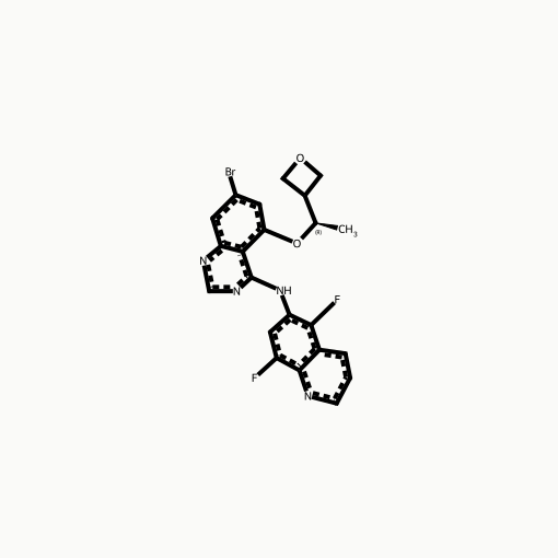 C[C@@H](Oc1cc(Br)cc2ncnc(Nc3cc(F)c4ncccc4c3F)c12)C1COC1